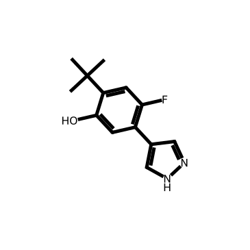 CC(C)(C)c1cc(F)c(-c2cn[nH]c2)cc1O